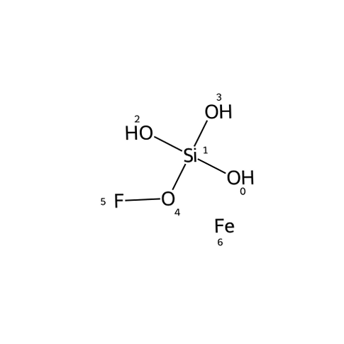 O[Si](O)(O)OF.[Fe]